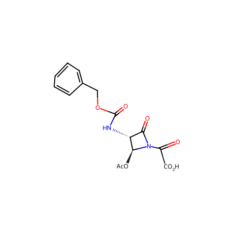 CC(=O)O[C@H]1[C@H](NC(=O)OCc2ccccc2)C(=O)N1C(=O)C(=O)O